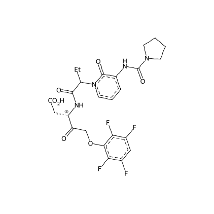 CCC(C(=O)N[C@@H](CC(=O)O)C(=O)COc1c(F)c(F)cc(F)c1F)n1cccc(NC(=O)N2CCCC2)c1=O